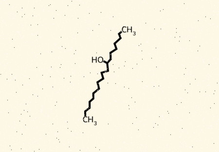 CCCCCCCCCCCC(O)CCCCCCC